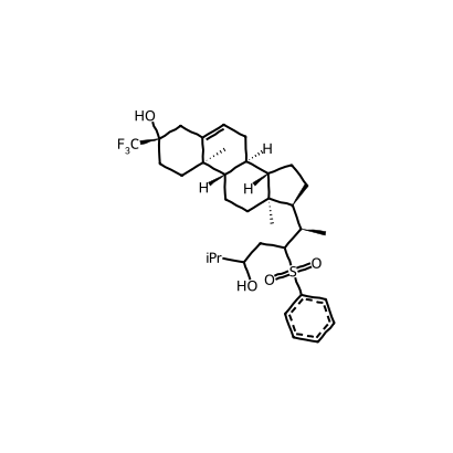 CC(C)C(O)CC([C@H](C)[C@@H]1CC[C@H]2[C@@H]3CC=C4C[C@](O)(C(F)(F)F)CC[C@]4(C)[C@H]3CC[C@@]21C)S(=O)(=O)c1ccccc1